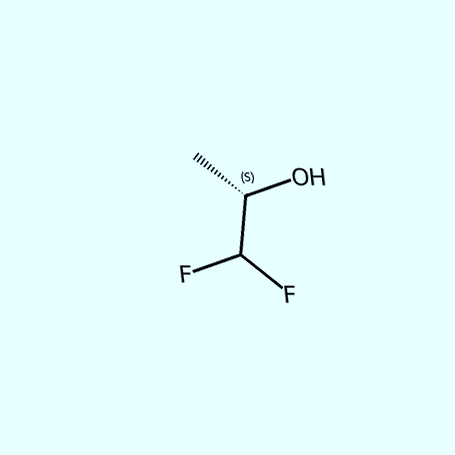 C[C@H](O)C(F)F